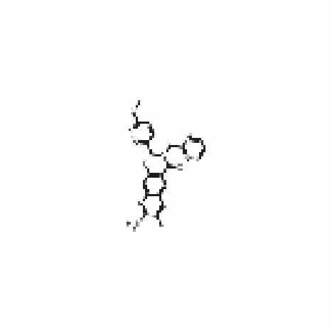 COc1ccc(CN(C(=O)c2cc3cc(C)c(N)nc3cc2F)[C@H](C)c2ncccn2)nn1